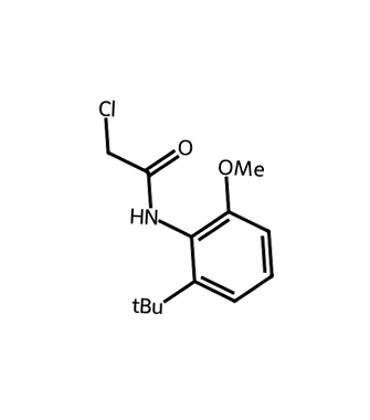 COc1cccc(C(C)(C)C)c1NC(=O)CCl